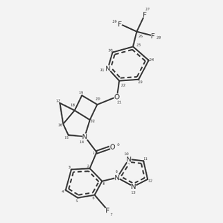 O=C(c1cccc(F)c1-n1nccn1)N1CC2CC23CC(Oc2ccc(C(F)(F)F)cn2)C13